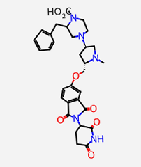 CN1C[C@H](N2CCN(C(=O)O)C(Cc3ccccc3)C2)C[C@H]1COc1ccc2c(c1)C(=O)N(C1CCC(=O)NC1=O)C2=O